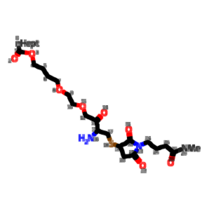 CCCCCCCC(=O)OCCCCOCCOCC(=O)C(N)CSC1CC(=O)N(CCCC(=O)NC)C1=O